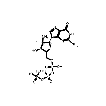 C[C@@]1(N)[C@H](O)C(COP(=O)(O)OP(=O)(O)OP(=O)(O)O)O[C@H]1n1cnc2c(=O)[nH]c(N)nc21